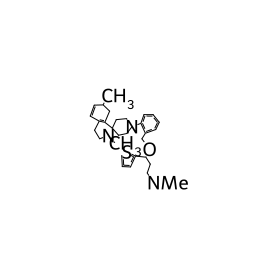 CNCCC(OCc1ccccc1N1CCC2(CC1)C1=C(C=CC(C)C1)CCN2C)c1cccs1